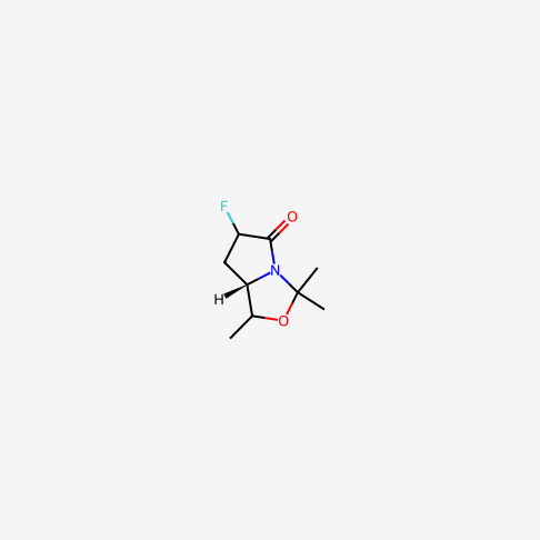 CC1OC(C)(C)N2C(=O)C(F)C[C@@H]12